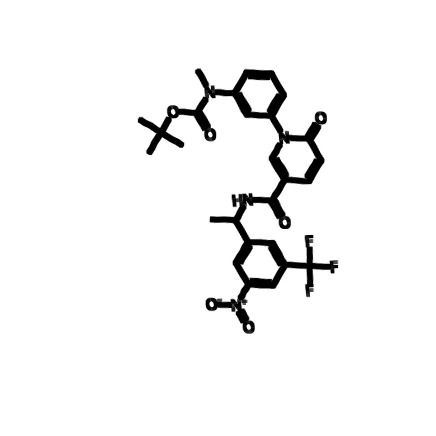 CC(NC(=O)c1ccc(=O)n(-c2cccc(N(C)C(=O)OC(C)(C)C)c2)c1)c1cc([N+](=O)[O-])cc(C(F)(F)F)c1